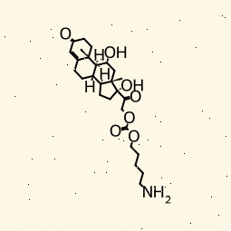 C[C@]12CCC(=O)C=C1CC[C@@H]1[C@@H]2[C@@H](O)C[C@@]2(C)[C@H]1CC[C@]2(O)C(=O)COC(=O)OCCCCCN